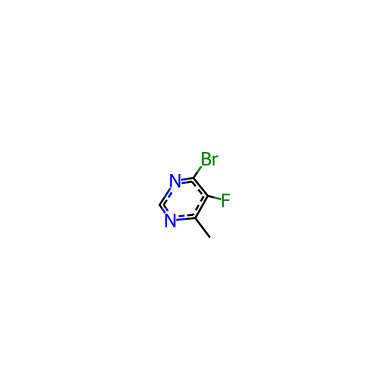 Cc1ncnc(Br)c1F